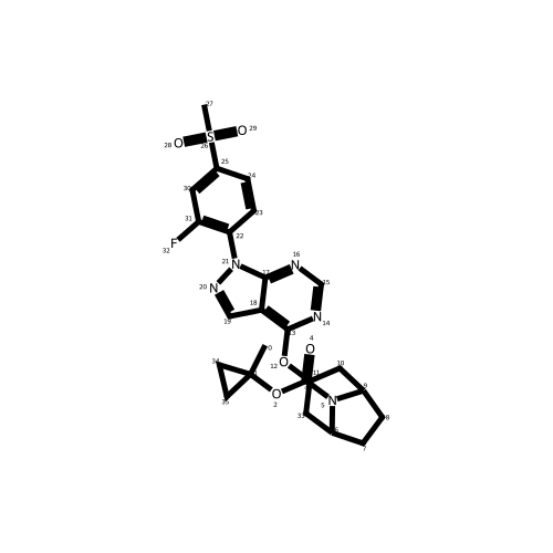 CC1(OC(=O)N2C3CCC2CC(Oc2ncnc4c2cnn4-c2ccc(S(C)(=O)=O)cc2F)C3)CC1